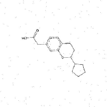 O=C(O)Cc1ccc2c(c1)OC(C1CCCC1)CC2